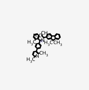 C=C(C)C(/N=C(/c1ccc(-c2ccc(C)nc2C)cc1)c1ccccc1C)c1ccc2c(c1)C(C)(C)c1ccccc1-2